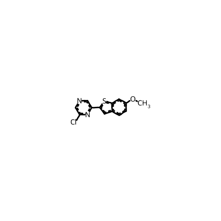 COc1ccc2cc(-c3cncc(Cl)n3)sc2c1